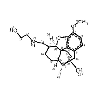 COc1ccc2c3c1O[C@@H]1C(CNCCO)CC[C@@H]4[C@H](C2)N(C)CCC314